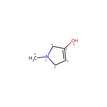 CN1CC=C(O)C1